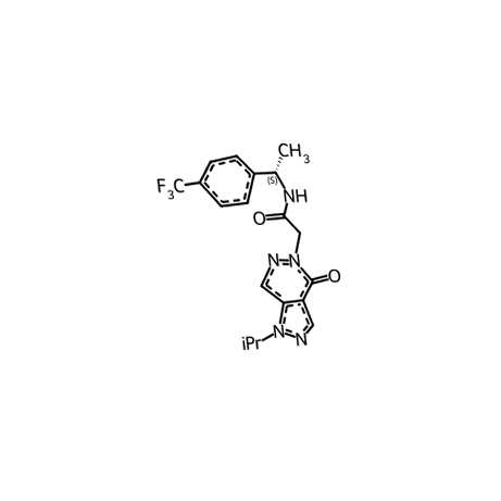 CC(C)n1ncc2c(=O)n(CC(=O)N[C@@H](C)c3ccc(C(F)(F)F)cc3)ncc21